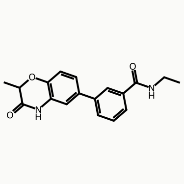 CCNC(=O)c1cccc(-c2ccc3c(c2)NC(=O)C(C)O3)c1